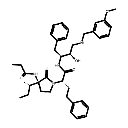 CCC(=O)N[C@]1([C@@H](C)CC)CCN([C@@H](CCc2ccccc2)C(=O)N[C@@H](Cc2ccccc2)[C@H](O)CNCc2cccc(OC)c2)C1=O